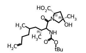 C=CCCC(C)C[C@@H](C)C(NC(=O)OC(C)(C)C)C(=O)N1C[C@](C)(O)C[C@H]1C(=O)O